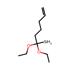 C=CCCCC([SiH3])(OCC)OCC